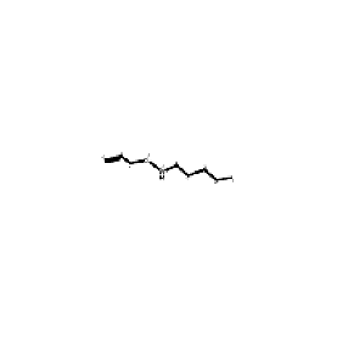 C=CCSNCCCCC